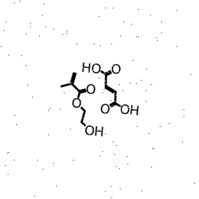 C=C(C)C(=O)OCCO.O=C(O)C=CC(=O)O